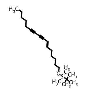 CCCCCC#CC#C/C=C/CCCCCO[Si](C)(C)C(C)(C)C